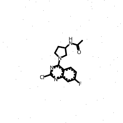 CC(=O)NC1CCN(c2nc(Cl)nc3cc(F)ccc23)C1